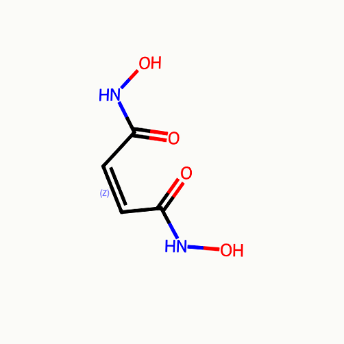 O=C(/C=C\C(=O)NO)NO